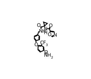 NOc1ccc(Oc2ccc(CNC(=O)C3(NC(=O)c4cnco4)CC3)cc2)c(C(F)(F)F)c1